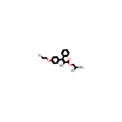 CCCCC(CC)COC(=O)/C(C#N)=C(\c1ccccc1)c1ccc(OCCBr)cc1